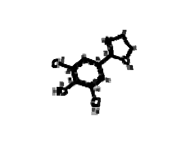 Oc1c(Cl)cc(C2=NCCO2)cc1Cl